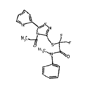 CC(=O)n1c(SC(F)(F)C(=O)N(C)c2ccccc2)nnc1-c1ccccn1